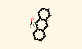 CO.c1ccc2cc3ccccc3cc2c1